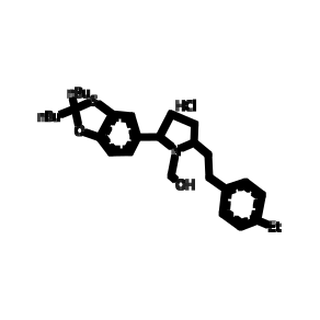 CCCCC1(CCCC)Oc2ccc(C3CCC(CCc4ccc(CC)cc4)N3CO)cc2S1.Cl